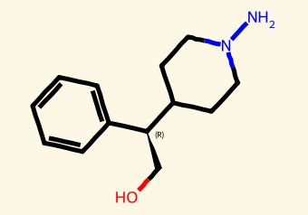 NN1CCC([C@@H](CO)c2ccccc2)CC1